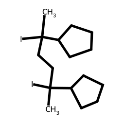 CC(I)(CCC(C)(I)C1CCCC1)C1CCCC1